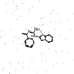 C=C(/N=C(/N)Nc1cc2ccccc2s1)c1ccccc1